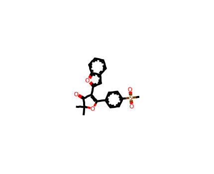 CC1(C)OC(c2ccc(S(C)(=O)=O)cc2)=C(c2cc3ccccc3o2)C1=O